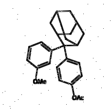 COc1cccc(C2(c3ccc(OC(C)=O)cc3)C3CC4CC(C3)CC2C4)c1